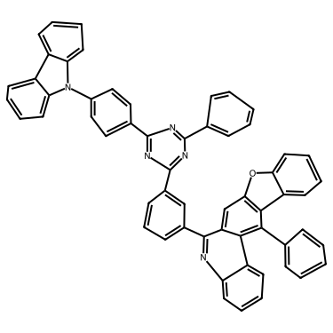 c1ccc(-c2nc(-c3ccc(-n4c5ccccc5c5ccccc54)cc3)nc(-c3cccc(-c4nc5ccccc5c5c(-c6ccccc6)c6c(cc45)oc4ccccc46)c3)n2)cc1